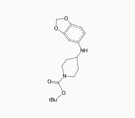 CC(C)(C)OC(=O)N1CCC(Nc2ccc3c(c2)OCO3)CC1